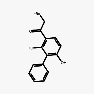 CC(C)(C)CC(=O)c1ccc(O)c(-c2ccccc2)c1O